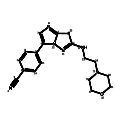 N#Cc1ccc(-c2cnc3sc(NCCN4CCOCC4)nn23)cc1